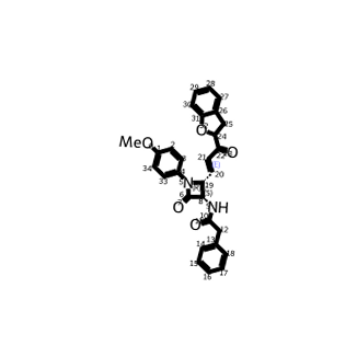 COc1ccc(N2C(=O)[C@@H](NC(=O)Cc3ccccc3)[C@H]2/C=C/C(=O)C2Cc3ccccc3O2)cc1